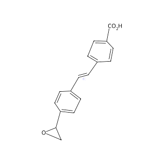 O=C(O)c1ccc(/C=C/c2ccc(C3CO3)cc2)cc1